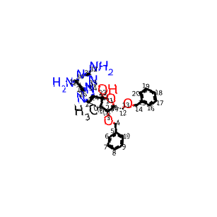 C[C@H]1[C@H](OCc2ccccc2)[C@@H](COCc2ccccc2)OC1(O)c1cnc2c(N)nc(N)nn12